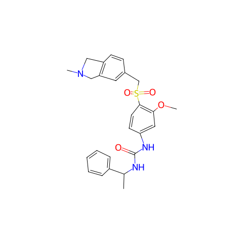 COc1cc(NC(=O)NC(C)c2ccccc2)ccc1S(=O)(=O)Cc1ccc2c(c1)CN(C)C2